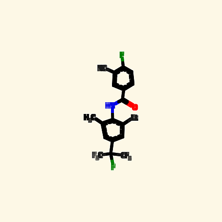 CCc1cc(C(F)(C(F)(F)F)C(F)(F)F)cc(C)c1NC(=O)c1ccc(F)c(C#N)c1